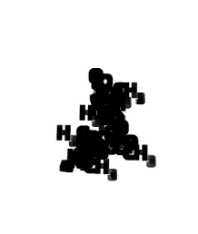 CC(=O)O[C@H]1C[C@H](O[C@H]2[C@@H](OC(C)=O)C[C@H](O[C@H]3CC[C@@]4(C)[C@H](CC[C@@H]5[C@@H]4C[C@@H](OC(C)=O)[C@]4(C)[C@@H](C6=CC(=O)OC6)CC[C@]54O)C3)O[C@@H]2C)O[C@H](C)[C@H]1OC1CCN(C2CCC2)CC(C)O1